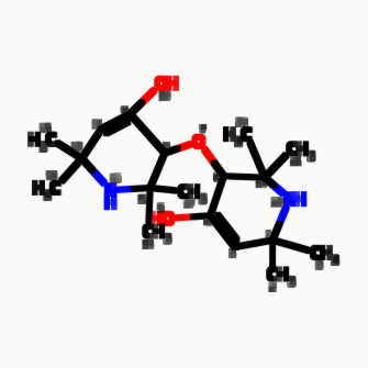 CC1(C)C=C(O)C(OC2C(O)=CC(C)(C)NC2(C)C)C(C)(C)N1